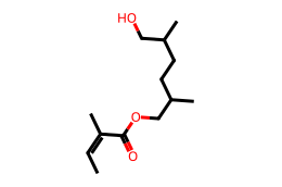 CC=C(C)C(=O)OCC(C)CCC(C)CO